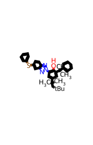 CC(C)(C)CC(C)(C)c1cc(-n2nc3ccc(Sc4ccccc4)cc3n2)c(O)c(C(C)(C)c2ccccc2)c1